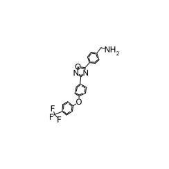 NCc1ccc(-c2nc(-c3ccc(Oc4ccc(C(F)(F)F)cc4)cc3)no2)cc1